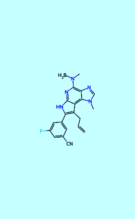 BN(C)c1nc2[nH]c(-c3cc(F)cc(C#N)c3)c(CC=C)c2c2c1ncn2C